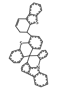 C1=Cc2c(sc3ccccc23)C(c2cccc3c2Sc2ccccc2C32c3ccccc3-n3c4ccccc4c4cccc2c43)C1